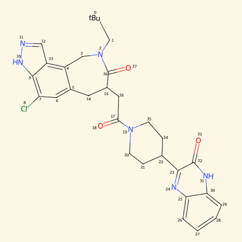 CC(C)(C)CN1Cc2c(cc(Cl)c3[nH]ncc23)CC(CC(=O)N2CCC(c3nc4ccccc4[nH]c3=O)CC2)C1=O